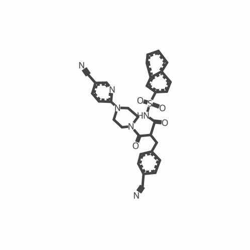 N#Cc1ccc(CC(C(=O)NS(=O)(=O)c2ccc3ccccc3c2)C(=O)N2CCN(c3ccc(C#N)cn3)CC2)cc1